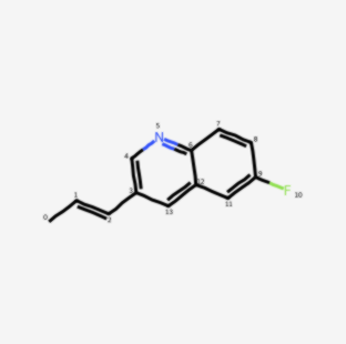 CC=Cc1cnc2ccc(F)cc2c1